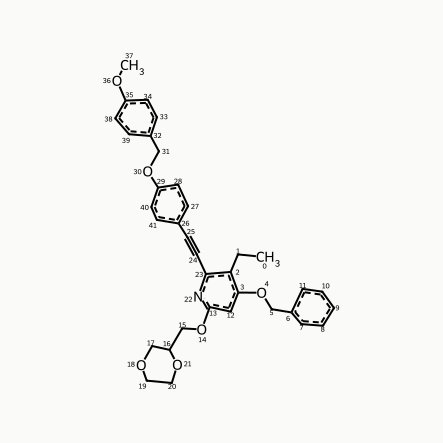 CCc1c(OCc2ccccc2)cc(OCC2COCCO2)nc1C#Cc1ccc(OCc2ccc(OC)cc2)cc1